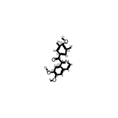 COc1cc2ccnc(C(=O)c3cc(C)c(OC)c(C)c3)c2cc1OC